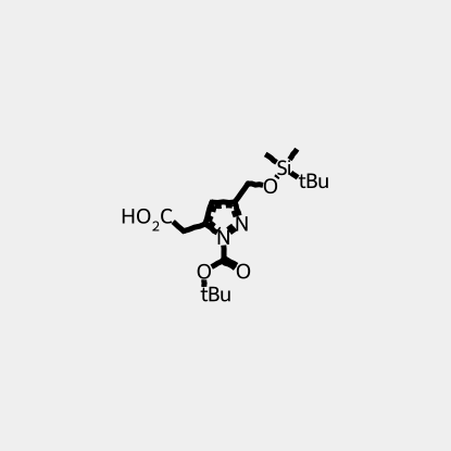 CC(C)(C)OC(=O)n1nc(CO[Si](C)(C)C(C)(C)C)cc1CC(=O)O